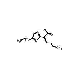 CCO/N=C(\C(=O)Cl)c1nsc(NOP)n1